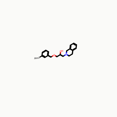 COc1cccc(COCC(O)CN2CCc3ccccc3C2)c1